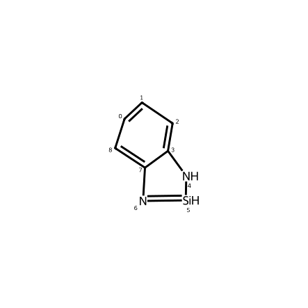 c1ccc2[nH][siH]nc2c1